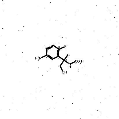 CC(CO)(NC(=O)O)c1cc(N)ccc1F